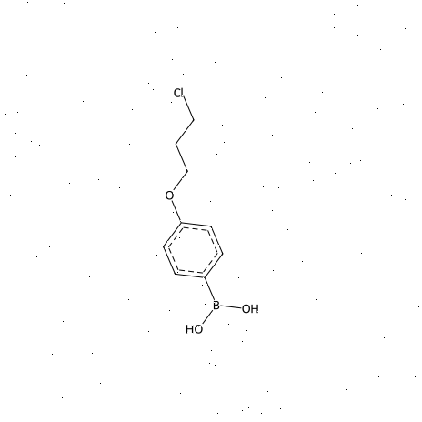 OB(O)c1ccc(OCCCCl)cc1